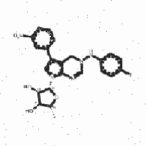 C[C@H]1O[C@@H](n2cc(-c3cccc([N+](=O)[O-])c3)c3c2N=CN(Nc2ccc(F)cc2)C3)[C@H](O)[C@@H]1O